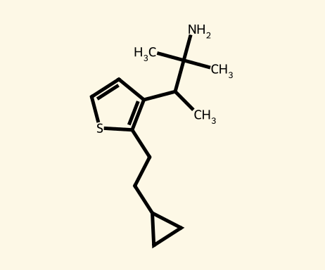 CC(c1ccsc1CCC1CC1)C(C)(C)N